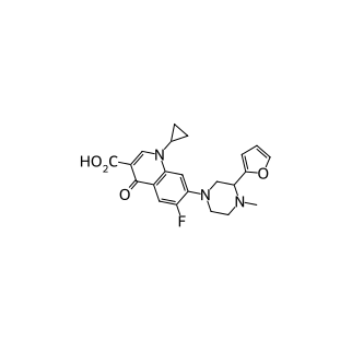 CN1CCN(c2cc3c(cc2F)c(=O)c(C(=O)O)cn3C2CC2)CC1c1ccco1